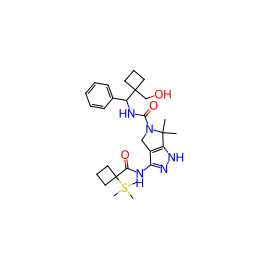 CC1(C)c2[nH]nc(NC(=O)C3(S(C)(C)C)CCC3)c2CN1C(=O)NC(c1ccccc1)C1(CO)CCC1